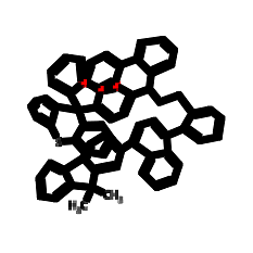 CC1(C)c2ccccc2-c2ccc(-c3ccc(-c4ccccc4CCC(c4ccc5c(c4)-c4ccccc4C54c5ccccc5Sc5ccccc54)c4ccccc4-c4ccccc4)c4ccccc34)cc21